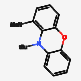 CNc1cccc2c1N(C(C)(C)C)c1ccccc1O2